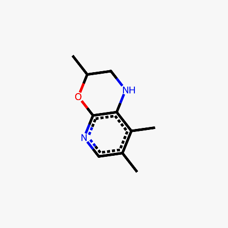 Cc1cnc2c(c1C)NCC(C)O2